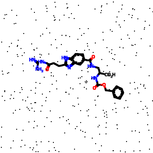 N=C(N)NC(=O)CCc1nc2cc(C(=O)NCC(NC(=O)OCc3ccccc3)C(=O)O)ccc2[nH]1